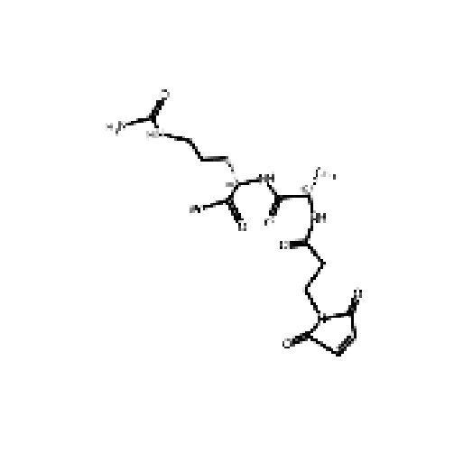 CC(C)C(=O)[C@H](CCCNC(N)=O)NC(=O)[C@H](C)NC(=O)CCN1C(=O)C=CC1=O